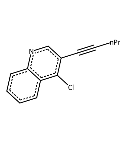 CCCC#Cc1cnc2ccccc2c1Cl